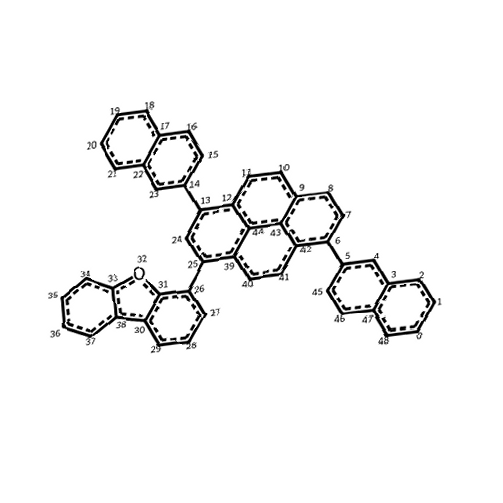 c1ccc2cc(-c3ccc4ccc5c(-c6ccc7ccccc7c6)cc(-c6cccc7c6oc6ccccc67)c6ccc3c4c56)ccc2c1